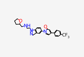 O=c1cc(-c2ccc(C(F)(F)F)cc2)ccn1-c1ccc2c(cnn2CCNCC2CCCO2)c1